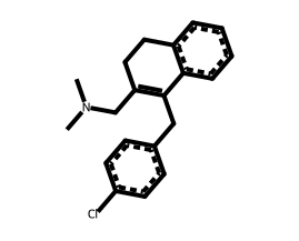 CN(C)CC1=C(Cc2ccc(Cl)cc2)c2ccccc2CC1